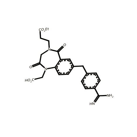 CCOC(=O)CCN1CC(=O)N(CC(=O)O)c2ccc(Cc3ccc(C(=N)N)cc3)cc2C1=O